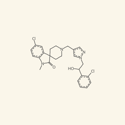 CN1C(=O)C2(CCN(Cc3cnn(CC(O)c4ccccc4Cl)c3)CC2)c2cc(Cl)ccc21